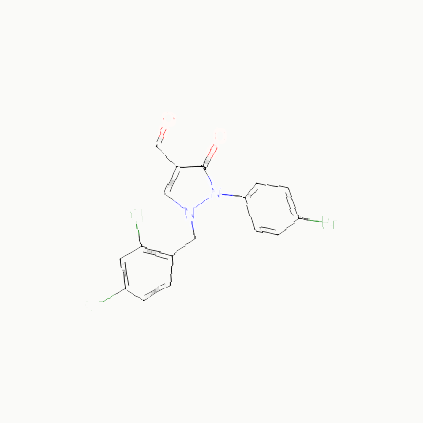 O=[C]c1cn(Cc2ccc(Cl)cc2Cl)n(-c2ccc(Br)cc2)c1=O